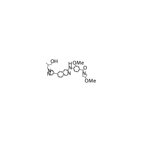 COc1cc(C(=O)N2CC(OC)C2)ccc1Nc1cc2cc(-c3cnn(CC(C)CO)c3)ccc2cn1